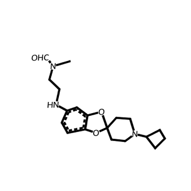 CN(C=O)CCNc1ccc2c(c1)OC1(CCN(C3CCC3)CC1)O2